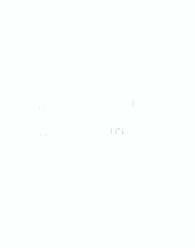 COC(=O)c1ccc(CNc2cccc(F)c2F)c(F)c1